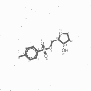 Cc1ccc(S(=O)(=O)OC[C@H]2OCC[C@@H]2O)cc1